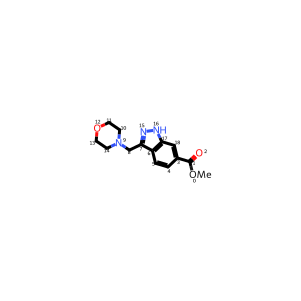 COC(=O)c1ccc2c(CN3CCOCC3)n[nH]c2c1